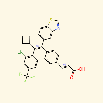 O=C(O)/C=C/c1ccc(/C(=C(\c2ccc(C(F)(F)F)cc2Cl)C2CCC2)c2ccc3scnc3c2)cc1